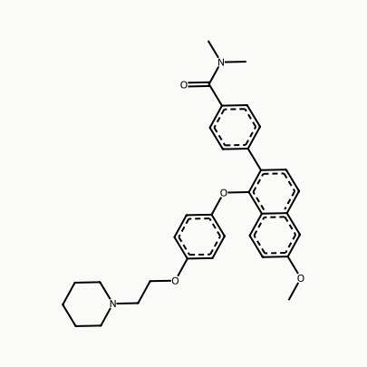 COc1ccc2c(Oc3ccc(OCCN4CCCCC4)cc3)c(-c3ccc(C(=O)N(C)C)cc3)ccc2c1